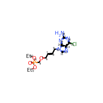 CCOP(=O)(COCC=CCn1cnc2c(Cl)nc(N)nc21)OCC